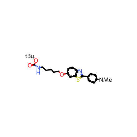 CNc1ccc(-c2nc3ccc(OCCCCCNC(=O)OC(C)(C)C)cc3s2)cc1